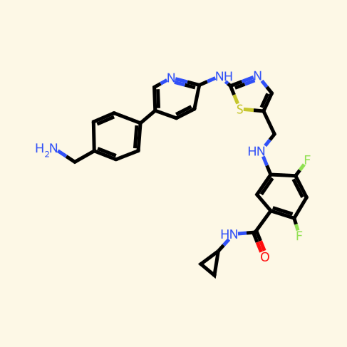 NCc1ccc(-c2ccc(Nc3ncc(CNc4cc(C(=O)NC5CC5)c(F)cc4F)s3)nc2)cc1